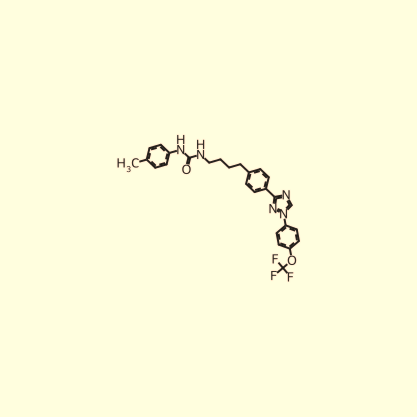 Cc1ccc(NC(=O)NCCCCc2ccc(-c3ncn(-c4ccc(OC(F)(F)F)cc4)n3)cc2)cc1